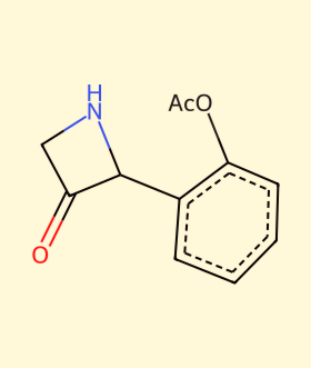 CC(=O)Oc1ccccc1C1NCC1=O